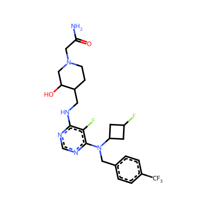 NC(=O)CN1CCC(CNc2ncnc(N(Cc3ccc(C(F)(F)F)cc3)C3CC(F)C3)c2F)C(O)C1